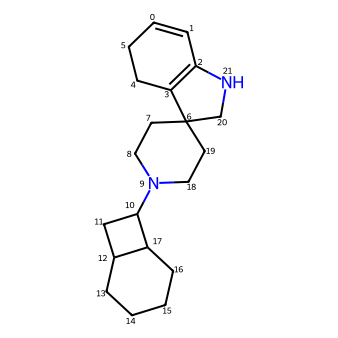 C1=CC2=C(CC1)C1(CCN(C3CC4CCCCC43)CC1)CN2